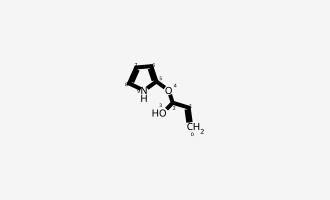 C=CC(O)Oc1ccc[nH]1